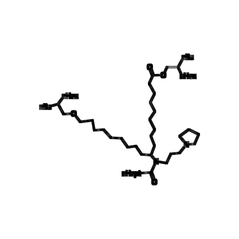 CCCCCCCC(=O)N(CCCN1CCCC1)C(CCCCCCCCCOCC(CCCC)CCCCCC)CCCCCCCCC(=O)OCC(CCCC)CCCCCC